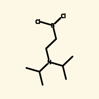 CC(C)N(CCB(Cl)Cl)C(C)C